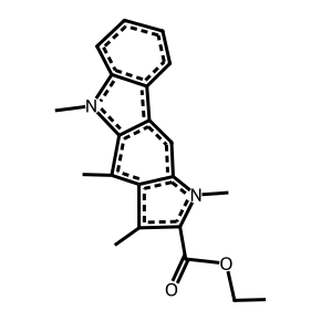 CCOC(=O)c1c(C)c2c(C)c3c(cc2n1C)c1ccccc1n3C